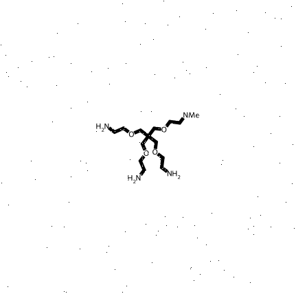 CNCCOCC(COCCN)(COCCN)COCCN